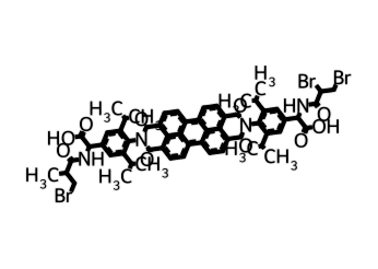 CC(CBr)C(=O)NC(C(=O)O)c1cc(C(C)C)c(N2C(=O)c3ccc4c5ccc6c7c(ccc(c8ccc(c3c48)C2=O)c75)C(=O)N(c2c(C(C)C)cc(C(NC(=O)C(Br)CBr)C(=O)O)cc2C(C)C)C6=O)c(C(C)C)c1